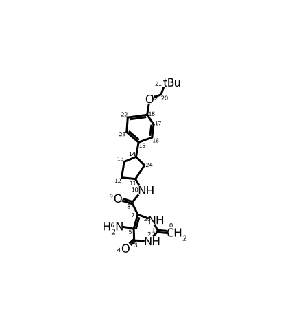 C=C1NC(=O)C(N)=C(C(=O)NC2CCC(c3ccc(OCC(C)(C)C)cc3)C2)N1